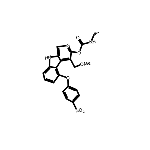 COCc1c(OC(=O)NC(C)C)ncc2[nH]c3cccc(Oc4ccc([N+](=O)[O-])cc4)c3c12